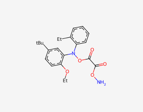 CCOc1ccc(C(C)(C)C)cc1N(OC(=O)C(=O)ON)c1ccccc1CC